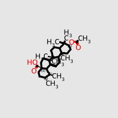 CC(=O)O[C@H]1CC[C@@]2(C)C(CC[C@]3(C)C2CC=C2C4[C@@H](C)[C@H](C)CC[C@]4(C(=O)O)CC[C@]23C)C1(C)C